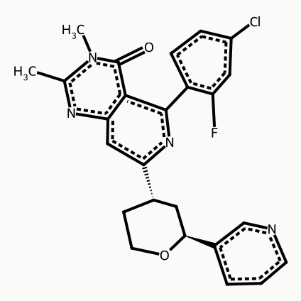 Cc1nc2cc([C@H]3CCO[C@H](c4cccnc4)C3)nc(-c3ccc(Cl)cc3F)c2c(=O)n1C